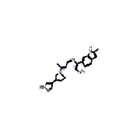 CCC/C=C(/N=C\C=C(/C)N1CCC(c2cn[nH]c2)C1)c1ccc2cc(C)[nH]c2c1